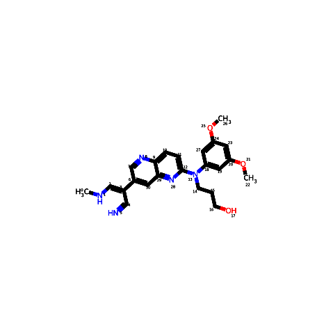 CN/C=C(\C=N)c1cnc2ccc(N(CCCO)c3cc(OC)cc(OC)c3)nc2c1